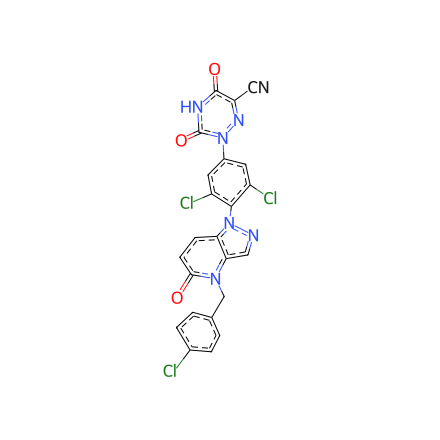 N#Cc1nn(-c2cc(Cl)c(-n3ncc4c3ccc(=O)n4Cc3ccc(Cl)cc3)c(Cl)c2)c(=O)[nH]c1=O